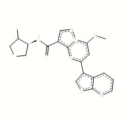 CNc1cc(-c2c[nH]c3ncccc23)nc2c(C(=O)N[C@H]3COCC3O)cnn12